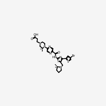 C[C@@H]1CCCN1Cc1sc(NC(=O)c2cnc(N3CCN(CCC(=O)O)C[C@@H]3C)cn2)nc1-c1cc(Br)cs1